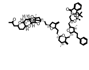 C=C1C[C@H](CC[C@@]23C[C@]4(C)O[C@H]5[C@@H](O2)[C@H]2OC(CC(C)=O)CC[C@@H]2O[C@H]5[C@H]4O3)OC1CC[C@H]1C[C@@H](C)C(=C)C(C[C@@H]2OC(C[C@@H](CN3C(=O)c4ccccc4C3=O)O[Si](C)(C)C(C)(C)C)[C@H](C)C2CCc2ccccc2)O1